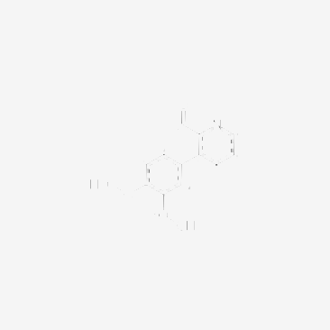 COc1ccc(-c2cccnc2C=O)cc1OC